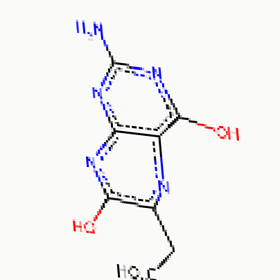 Nc1nc(O)c2nc(CC(=O)O)c(O)nc2n1